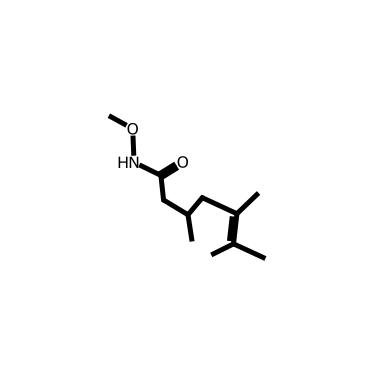 CONC(=O)CC(C)CC(C)=C(C)C